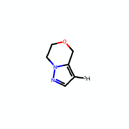 [2H]c1cnn2c1COCC2